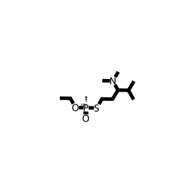 CCO[P@](C)(=O)SCCC(C(C)C)N(C)C